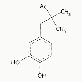 CC(=O)C(C)(C)Cc1ccc(O)c(O)c1